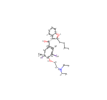 CCCCc1oc2ccccc2c1C(=O)c1cc(I)c(OCCN(CC)CC)c(I)c1.[CaH2]